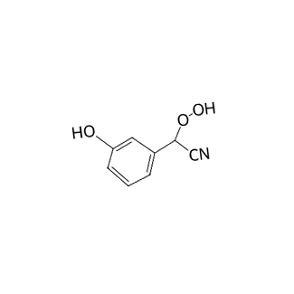 N#CC(OO)c1cccc(O)c1